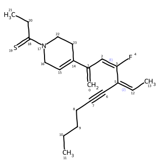 C=C(/C=C(F)\C(C#CCCCC)=C/C)C1=CCN(C(=S)CC)CC1